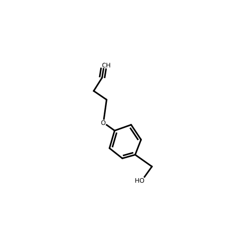 C#CCCOc1ccc(CO)cc1